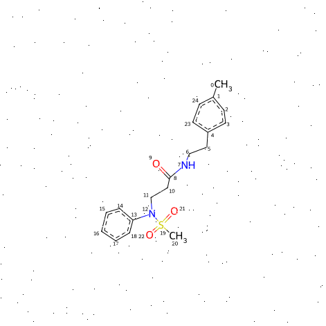 Cc1ccc(C[CH]NC(=O)CCN(c2ccccc2)S(C)(=O)=O)cc1